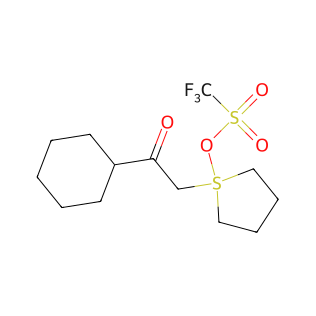 O=C(CS1(OS(=O)(=O)C(F)(F)F)CCCC1)C1CCCCC1